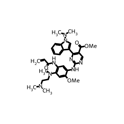 C=CC(=O)Nc1cc(Nc2ncc(C(=O)OC)c(-c3cn(N(C)C)c4ccccc34)n2)c(OC)cc1N(C)CCN(C)C